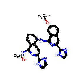 Nc1nc(-c2ncc[nH]2)cc2ccccc12.Nc1nc(-c2ncc[nH]2)cc2ccccc12.O=[N+]([O-])[O-].O=[N+]([O-])[O-].[Cu+2]